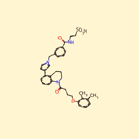 Cc1cccc(OCCCC(=O)N2CCCc3c(-c4ccn(Cc5cccc(C(=O)NCCS(=O)(=O)O)c5)c4)cccc32)c1C